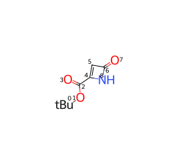 CC(C)(C)OC(=O)C1=CC(=O)N1